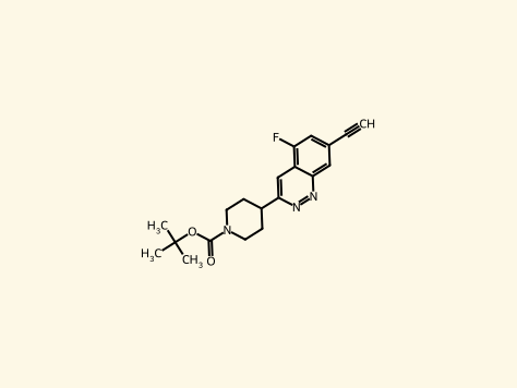 C#Cc1cc(F)c2cc(C3CCN(C(=O)OC(C)(C)C)CC3)nnc2c1